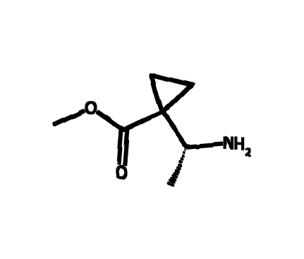 COC(=O)C1([C@@H](C)N)CC1